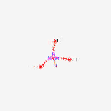 CC(=O)NC1C2OCC(COCCOCCOCCOCCn3cc(COCC(COCc4cn(CCOCCOCCOCCOCC56COC(O5)C(NC(C)=O)C(O)C6O)nn4)(COCc4cn(CCOCCOCCOCCOC[C@]56CO[C@@H](O5)[C@H](NC(C)=O)[C@@H](O)[C@H]6O)nn4)NC(=O)CCCCC[S](S)c4ccccn4)nn3)(O2)C(O)C1O